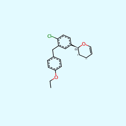 CCOc1ccc(Cc2cc([C@@H]3[C][C]C=CO3)ccc2Cl)cc1